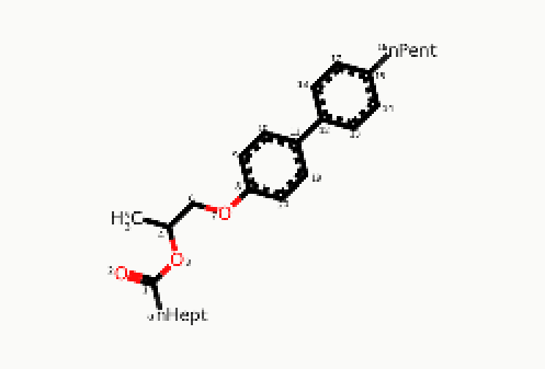 CCCCCCCC(=O)OC(C)COc1ccc(-c2ccc(CCCCC)cc2)cc1